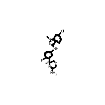 Cn1nc(Nc2ccc(F)c([C@]3(C)COCC(N)=N3)c2)c2ccc(Cl)cc21